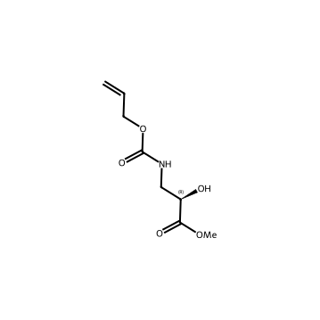 C=CCOC(=O)NC[C@@H](O)C(=O)OC